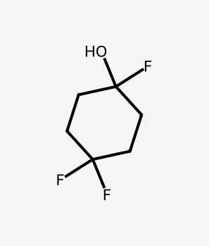 OC1(F)CCC(F)(F)CC1